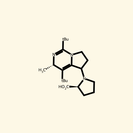 C[C@@H]1N=C(C(C)(C)C)N2CCC(N3CCC[C@H]3C(=O)O)C2=C1C(C)(C)C